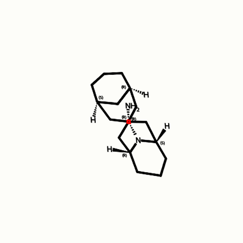 N[C@H]1C[C@H]2CCC[C@@H](C1)N2[C@H]1C[C@@H]2CCC[C@@H](C2)C1